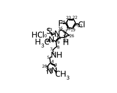 Cl.Cn1cc(CNCCc2c3n(c(=S)n2C)C[C@@]2(c4cc(Cl)ccc4F)C[C@@H]32)cn1